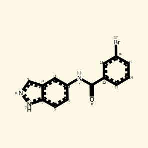 O=C(Nc1ccc2[nH]ncc2c1)c1cccc(Br)c1